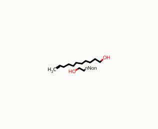 C=CCCCCCCCCCO.CCCCCCCCCCCO